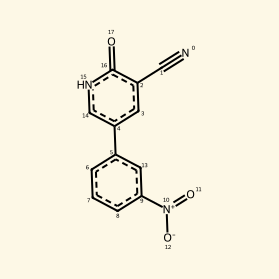 N#Cc1cc(-c2cccc([N+](=O)[O-])c2)c[nH]c1=O